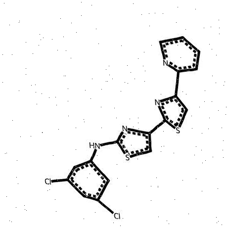 Clc1cc(Cl)cc(Nc2nc(-c3nc(-c4ccccn4)cs3)cs2)c1